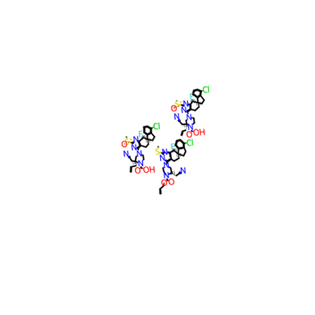 C=CCOC(=O)N1CCN(c2nc(SC)nc3c2CC[C@@]2(CCc4c(Cl)cccc42)[C@H]3F)C[C@@H]1CC#N.C=CC[C@]1(CC#N)CN(c2nc([S+](C)[O-])nc3c2CC[C@@]2(CCc4c(Cl)cccc42)[C@H]3F)CCN1C(=O)O.C=CC[C@]1(CC#N)CN(c2nc([S+](C)[O-])nc3c2CC[C@@]2(CCc4c(Cl)cccc42)[C@H]3F)CCN1C(=O)O